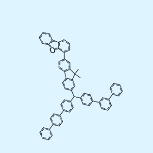 CC1(C)c2cc(-c3cccc4c3oc3ccccc34)ccc2-c2ccc(C(c3ccc(-c4ccc(-c5ccccc5)cc4)cc3)c3ccc(-c4cccc(-c5ccccc5)c4)cc3)cc21